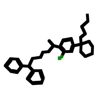 CCCCCC1(c2ccc(C(C)CCCCC(c3ccccc3)c3ccccc3)c(Br)c2)CCCCC1